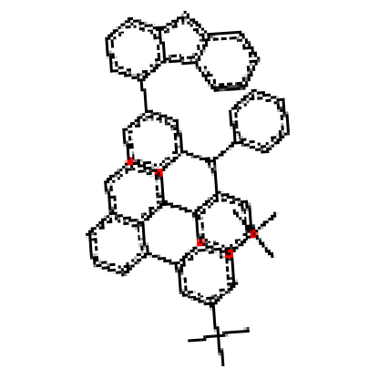 CC(C)(C)c1cc(-c2cccc3cccc(-c4ccccc4N(c4ccccc4)c4cccc(-c5cccc6sc7ccccc7c56)c4)c23)cc(C(C)(C)C)c1